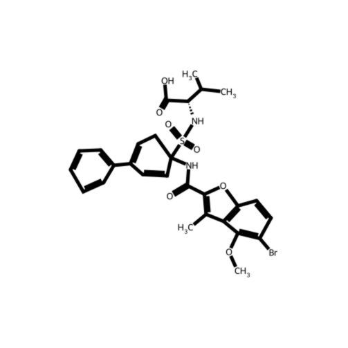 COc1c(Br)ccc2oc(C(=O)NC3(S(=O)(=O)N[C@H](C(=O)O)C(C)C)C=CC(c4ccccc4)=CC3)c(C)c12